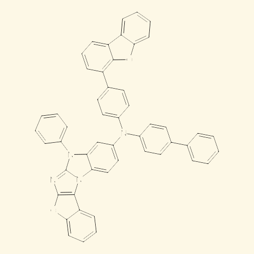 c1ccc(-c2ccc(N(c3ccc(-c4cccc5c4oc4ccccc45)cc3)c3ccc4c(c3)n(-c3ccccc3)c3nc5oc6ccccc6c5n43)cc2)cc1